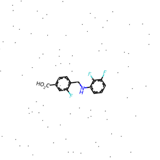 O=C(O)c1ccc(CNc2cccc(F)c2F)c(F)c1